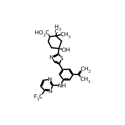 C=C(C)c1cc(Nc2nccc(C(F)(F)F)n2)cc(-c2cnc([C@]3(O)CC[C@@H](C(=O)O)C(C)(C)C3)s2)c1